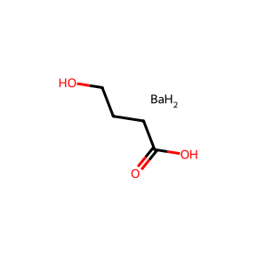 O=C(O)CCCO.[BaH2]